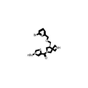 CCCCN1C=C(C(=O)N2C[C@@H](COCc3cccc(Br)n3)C3(CNC3)C2)SC1